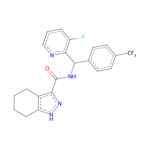 O=C(NC(c1ccc(C(F)(F)F)cc1)c1ncccc1F)c1n[nH]c2c1CCCC2